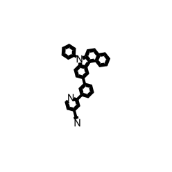 N#Cc1ccnc(-c2cccc(-c3ccc4c(c3)c3c5ccccc5ccc3n4-c3ccccc3)c2)c1